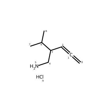 C=C=CC(CN)C(C)C.Cl